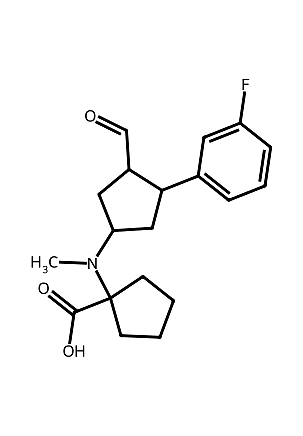 CN(C1CC(C=O)C(c2cccc(F)c2)C1)C1(C(=O)O)CCCC1